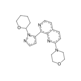 c1cc2ccc(N3CCOCC3)nc2c(-c2ccnn2C2CCCCO2)n1